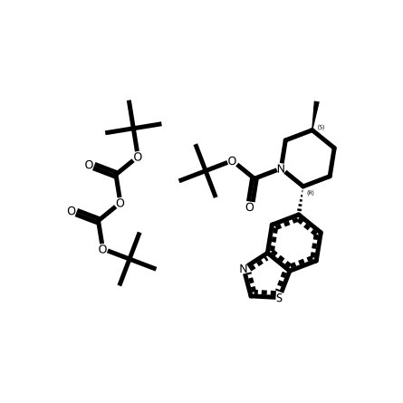 CC(C)(C)OC(=O)OC(=O)OC(C)(C)C.C[C@H]1CC[C@H](c2ccc3scnc3c2)N(C(=O)OC(C)(C)C)C1